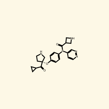 O=C(C1CNC1)N(c1ccc(O[C@]2(C(=O)C3CC3)CCNC2)cc1)c1ccnnc1